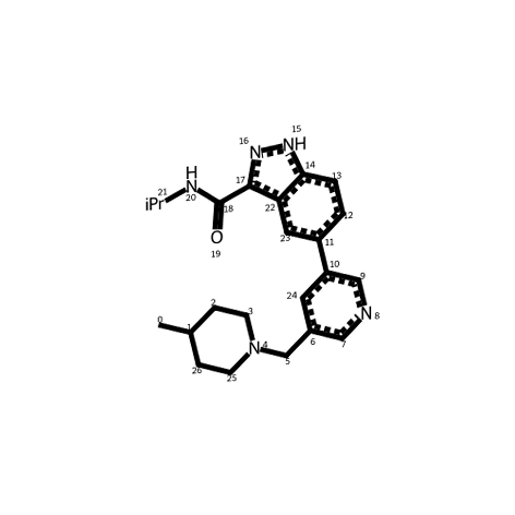 CC1CCN(Cc2cncc(-c3ccc4[nH]nc(C(=O)NC(C)C)c4c3)c2)CC1